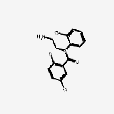 NCCN(C(=O)c1cc(Cl)ccc1Br)c1ccccc1Cl